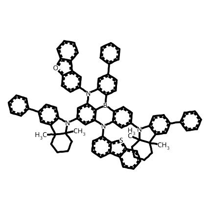 CC12CCCCC1(C)N(c1ccc3c(c1)N(c1cccc4c1sc1ccccc14)c1cc(N4c5ccc(-c6ccccc6)cc5C5(C)CCCCC45C)cc4c1B3c1ccc(-c3ccccc3)cc1N4c1ccc3oc4ccccc4c3c1)c1ccc(-c3ccccc3)cc12